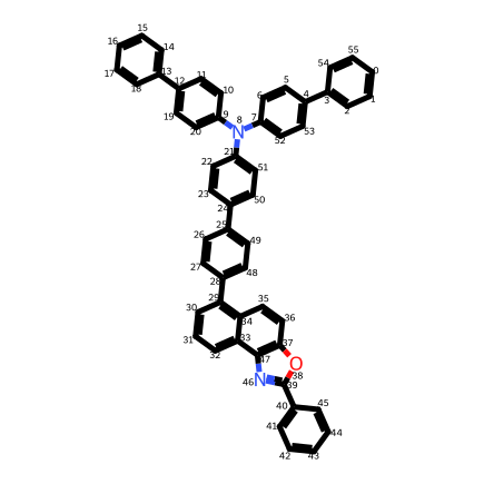 c1ccc(-c2ccc(N(c3ccc(-c4ccccc4)cc3)c3ccc(-c4ccc(-c5cccc6c5ccc5oc(-c7ccccc7)nc56)cc4)cc3)cc2)cc1